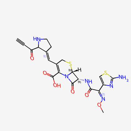 C#CC(=O)C1NCC/C1=C\C1=C(C(=O)O)N2C(=O)[C@@H](NC(=O)/C(=N\OC)c3csc(N)n3)[C@H]2SC1